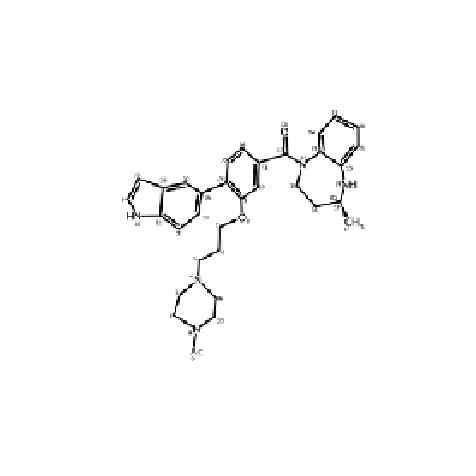 CC(=O)N1CCN(CCCOc2cc(C(=O)N3CC[C@H](C)Nc4ccccc43)ccc2-c2ccc3[nH]ccc3c2)CC1